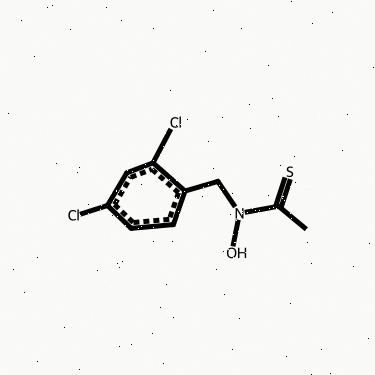 CC(=S)N(O)Cc1ccc(Cl)cc1Cl